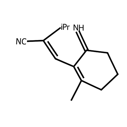 CC1=C(/C=C(/C#N)C(C)C)C(=N)CCC1